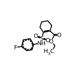 CCOC(=O)C1=C(S(=O)(=O)Nc2ccc(F)cc2)CCCC1